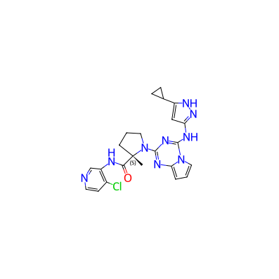 C[C@@]1(C(=O)Nc2cnccc2Cl)CCCN1c1nc(Nc2cc(C3CC3)[nH]n2)n2cccc2n1